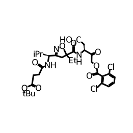 CCC1(C(=O)N[C@@H](CC(=O)O)C(=O)COC(=O)c2c(Cl)cccc2Cl)CC([C@@H](NC(=O)CCC(=O)OC(C)(C)C)C(C)C)=NO1